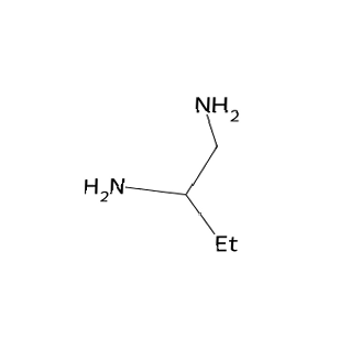 [CH2]CC(N)CN